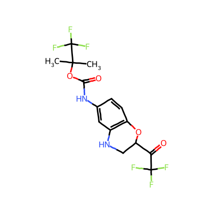 CC(C)(OC(=O)Nc1ccc2c(c1)NCC(C(=O)C(F)(F)F)O2)C(F)(F)F